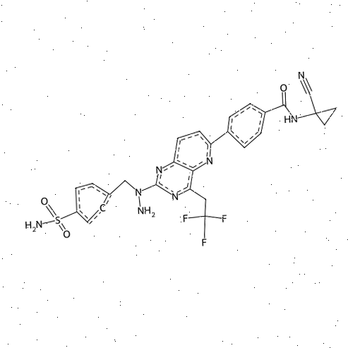 N#CC1(NC(=O)c2ccc(-c3ccc4nc(N(N)Cc5ccc(S(N)(=O)=O)cc5)nc(CC(F)(F)F)c4n3)cc2)CC1